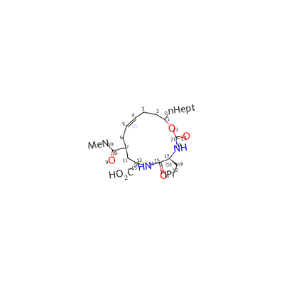 CCCCCCCC1CC/C=C\CC(C(=O)NC)C[C@@H](C(=O)O)NC(=O)[C@H](CC(C)C)NC(=O)O1